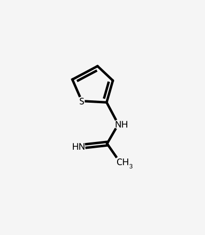 CC(=N)Nc1cccs1